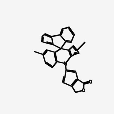 Cc1ccc2c(c1)C1(c3ccccc3-c3ccccc31)c1cc(C)ccc1N2c1ccc2c(c1)C(=O)OC2